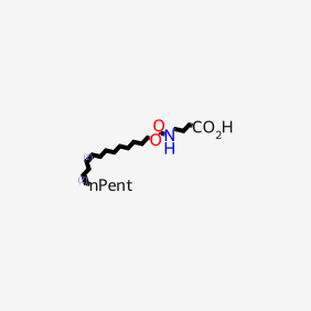 CCCCC/C=C\C/C=C\CCCCCCCCOC(=O)NCCCC(=O)O